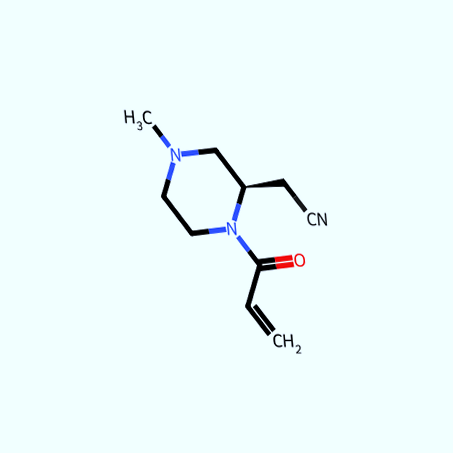 C=CC(=O)N1CCN(C)C[C@H]1CC#N